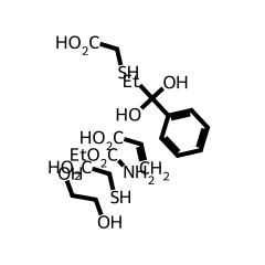 C=CC(=O)O.CCC(O)(O)c1ccccc1.CCOC(N)=O.O=C(O)CS.O=C(O)CS.OCCO